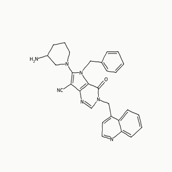 N#Cc1c(N2CCCC(N)C2)n(Cc2ccccc2)c2c(=O)n(Cc3ccnc4ccccc34)cnc12